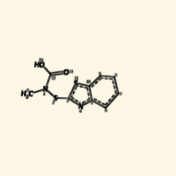 CN(Sc1nc2ccccc2s1)C(=O)O